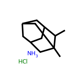 CC1C2CC3CC(C2)CC1(C)C3.Cl.N